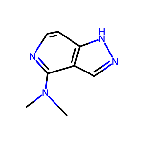 CN(C)c1nccc2[nH]ncc12